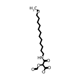 [CH2]OCCCCCCCCCCCCNC(=O)C(OC=O)C([O])=O